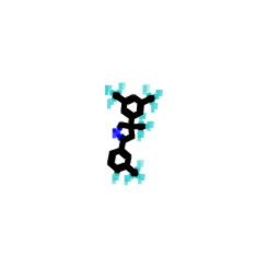 Fc1ccc(C2=NCC(c3cc(C(F)(F)F)cc(C(F)(F)F)c3)(C(F)(F)F)C2)cc1C(F)(F)F